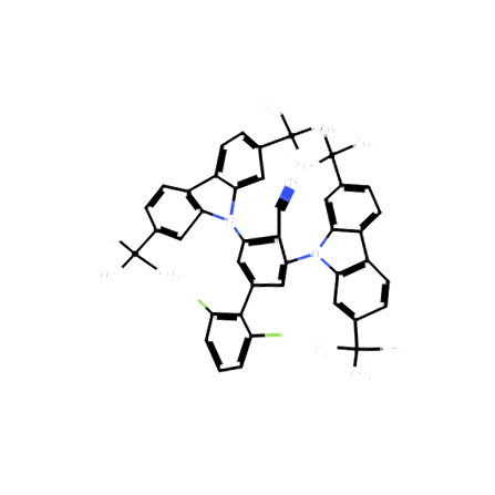 CC(C)(C)c1ccc2c3ccc(C(C)(C)C)cc3n(-c3cc(-c4c(F)cccc4F)cc(-n4c5cc(C(C)(C)C)ccc5c5ccc(C(C)(C)C)cc54)c3C#N)c2c1